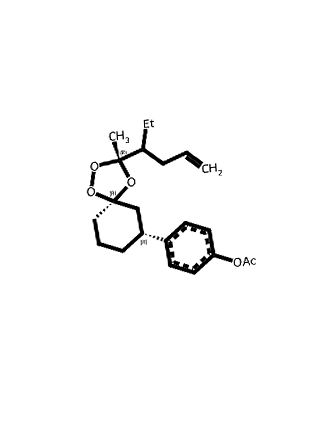 C=CCC(CC)[C@@]1(C)OO[C@@]2(CCC[C@@H](c3ccc(OC(C)=O)cc3)C2)O1